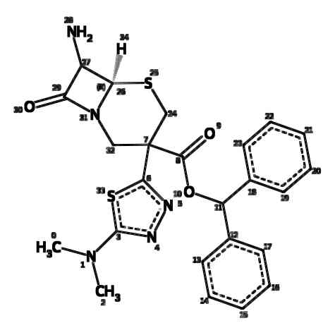 CN(C)c1nnc(C2(C(=O)OC(c3ccccc3)c3ccccc3)CS[C@@H]3C(N)C(=O)N3C2)s1